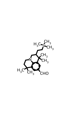 CC1(C)CCN2CC(CC[Si](C)(C)C)C(C)(C)c3cc(C=O)cc1c32